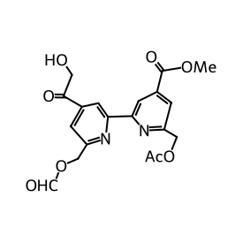 COC(=O)c1cc(COC(C)=O)nc(-c2cc(C(=O)CO)cc(COC=O)n2)c1